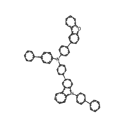 c1ccc(-c2ccc(N(c3ccc(-c4ccc5oc6ccccc6c5c4)cc3)c3ccc(-c4ccc5c(c4)c4ccccc4n5-c4ccc(-c5ccccc5)cc4)cc3)cc2)cc1